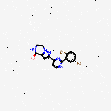 O=C1NCCn2nc(-c3ccnc(-c4cc(Br)ccc4Br)n3)cc21